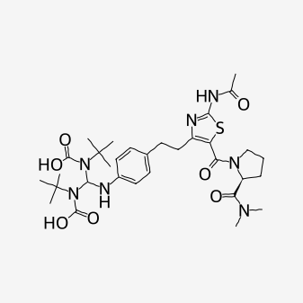 CC(=O)Nc1nc(CCc2ccc(NC(N(C(=O)O)C(C)(C)C)N(C(=O)O)C(C)(C)C)cc2)c(C(=O)N2CCC[C@H]2C(=O)N(C)C)s1